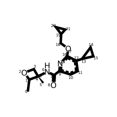 CC1OC[C@]1(C)NC(=O)c1ccc(C2CC2)c(OCC2CC2)n1